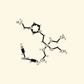 CCO[Si](CCn1cc[n+](CC)c1)(OCC)OCC.N#CNC#N